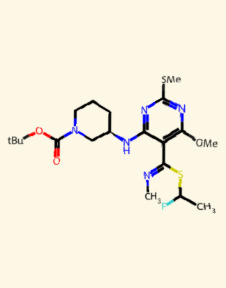 C/N=C(\SC(C)F)c1c(N[C@@H]2CCCN(C(=O)OC(C)(C)C)C2)nc(SC)nc1OC